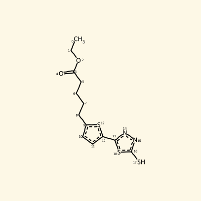 CCOC(=O)CCCCc1ccc(-c2nnc(S)s2)s1